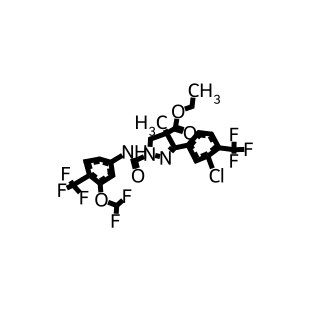 CCOC(=O)C1(C)CN(C(=O)Nc2ccc(C(F)(F)F)c(OC(F)F)c2)N=C1c1ccc(C(F)(F)F)c(Cl)c1